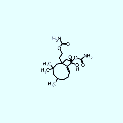 CC1CCC=C(C(=O)O)C(CCOC(N)=O)(CCOC(N)=O)CC(C)(C)C1